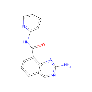 Nc1ncc2cccc(C(=O)Nc3ccccn3)c2n1